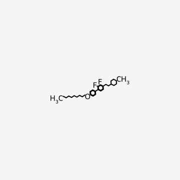 CCCCCCCCCCOc1ccc(-c2ccc(CCC3CCC(C)CC3)c(F)c2F)cc1